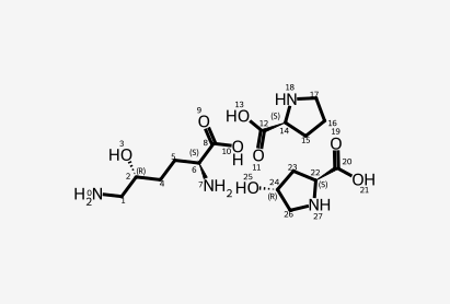 NC[C@H](O)CC[C@H](N)C(=O)O.O=C(O)[C@@H]1CCCN1.O=C(O)[C@@H]1C[C@@H](O)CN1